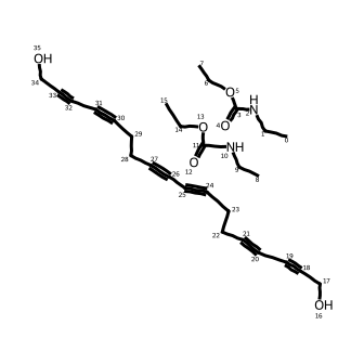 CCNC(=O)OCC.CCNC(=O)OCC.OCC#CC#CCCC#CC#CCCC#CC#CCO